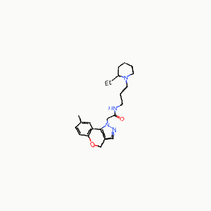 CCC1CCCCN1CCCNC(=O)Cn1ncc2c1-c1cc(C)ccc1OC2